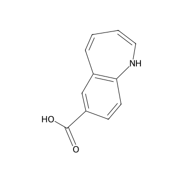 O=C(O)c1ccc2c(c1)C=CC=CN2